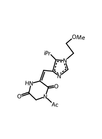 COCCn1cnc(C=C2NC(=O)CN(C(C)=O)C2=O)c1C(C)C